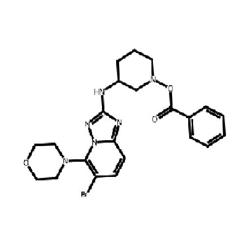 O=C(ON1CCCC(Nc2nc3ccc(Br)c(N4CCOCC4)n3n2)C1)c1ccccc1